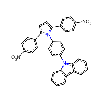 O=[N+]([O-])c1ccc(-c2ccc(-c3ccc([N+](=O)[O-])cc3)n2-c2ccc(-n3c4ccccc4c4ccccc43)cc2)cc1